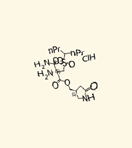 CCCC(CCC)S(=O)(=O)C[C@](N)(C(N)=O)C(=O)OC[C@@H]1CNC(=O)C1.Cl